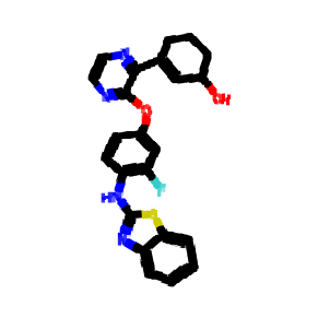 OC1C=C(c2nccnc2Oc2ccc(Nc3nc4ccccc4s3)c(F)c2)CCC1